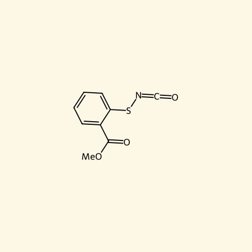 COC(=O)c1ccccc1SN=C=O